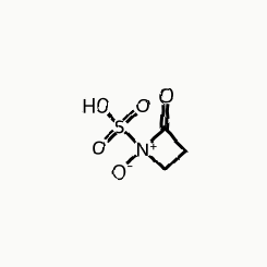 O=C1CC[N+]1([O-])S(=O)(=O)O